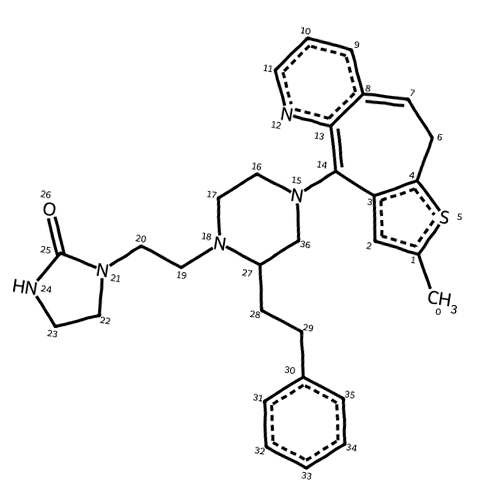 Cc1cc2c(s1)CC=c1cccnc1=C2N1CCN(CCN2CCNC2=O)C(CCc2ccccc2)C1